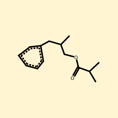 CC(COC(=O)C(C)C)Cc1ccccc1